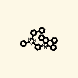 c1ccc(-c2cccc(-c3nc(-c4ccccc4)nc(-c4cccc(-n5nc(-c6ccccc6)c6c(-c7ccccc7)cc7ccccc7c65)c4)n3)c2)cc1